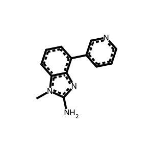 Cn1c(N)nc2c(-c3cccnc3)cccc21